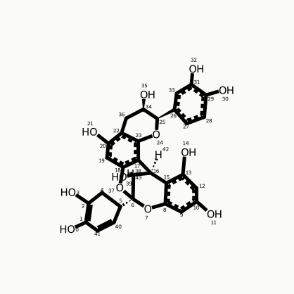 OC1=C(O)CC([C@]23Oc4cc(O)cc(O)c4[C@H](c4c(cc(O)c5c4O[C@H](c4ccc(O)c(O)c4)[C@H](O)C5)O2)[C@H]3O)C=C1